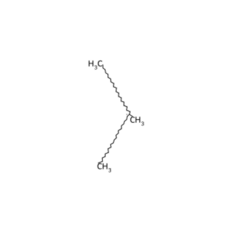 CCCCCCCCCCCCCCCCCCCCCC[C](CC)CCCCCCCCCCCCCCCCCCCCCC